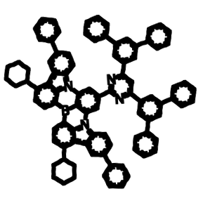 c1ccc(-c2cc(-c3ccccc3)cc(-c3cc(-c4cc(-c5ccccc5)cc(-c5ccccc5)c4)nc(-c4cc5c6c(c4)-n4c7ccc(-c8ccccc8)cc7c7c(C8CCCCC8)ccc(c74)B6c4ccc(C6CCCCC6)c6c7cc(-c8ccccc8)ccc7n-5c46)n3)c2)cc1